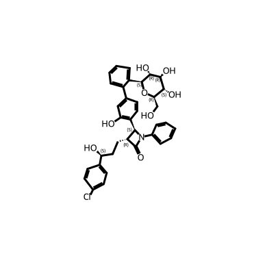 O=C1[C@H](CC[C@H](O)c2ccc(Cl)cc2)[C@@H](c2ccc(-c3ccccc3[C@@H]3O[C@H](CO)[C@@H](O)[C@H](O)[C@H]3O)cc2O)N1c1ccccc1